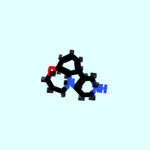 c1cc2c3c(c1)c1c(n3CCCO2)CCNC1